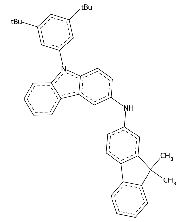 CC(C)(C)c1cc(-n2c3ccccc3c3cc(Nc4ccc5c(c4)C(C)(C)c4ccccc4-5)ccc32)cc(C(C)(C)C)c1